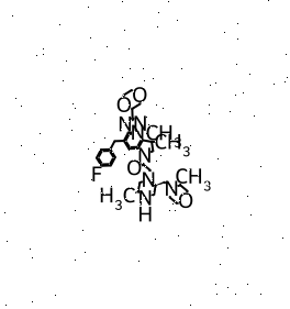 C[C@@H]1CN(CC(=O)N2CC(C)(C)c3c2cc(Cc2ccc(F)cc2)c2nc(C4COCCO4)nn32)[C@@H](CN2CCOC[C@H]2C)CN1